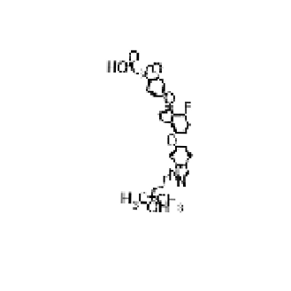 CC(C)(O)CCCn1ncc2ccc(Oc3ccc(F)c4c3CC[C@H]4Oc3ccc4c(c3)OC[C@H]4CC(=O)O)cc21